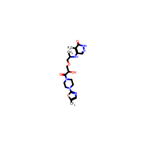 CC(COCC(O)C(=O)N1CCN(c2ncc(C(F)(F)F)s2)CC1)Nc1cn[nH]c(=O)c1C(F)(F)F